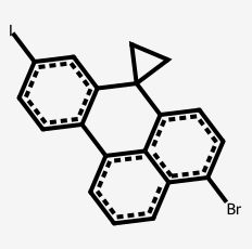 Brc1ccc2c3c(cccc13)-c1ccc(I)cc1C21CC1